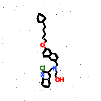 OCCN(Cc1ccc2cc(OCCCCCc3ccccc3)ccc2c1)Cc1cc2ccccc2nc1Cl